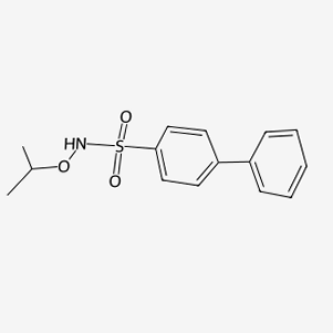 CC(C)ONS(=O)(=O)c1ccc(-c2ccccc2)cc1